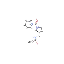 CNC(=O)NC[C@H]1CCN(C(=O)N2CCCCC2)C1